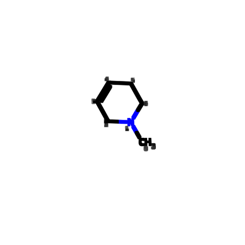 CN1[C]C=CCC1